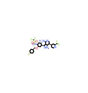 C[C@H](Oc1cc(-c2nn(C)c3c(-c4ccnc(C(F)F)c4)cnc(N)c23)ccc1NS(=O)(=O)C(F)F)c1ccc(F)cc1